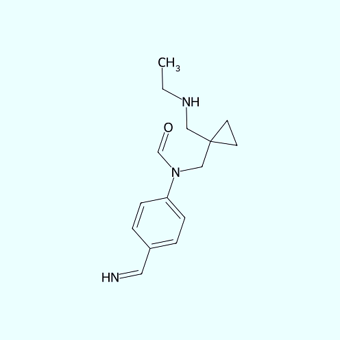 CCNCC1(CN(C=O)c2ccc(C=N)cc2)CC1